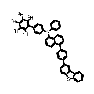 [2H]c1c([2H])c([2H])c(-c2ccc(N(c3ccccc3)c3cccc4c(-c5ccc(-c6ccc7sc8ccccc8c7c6)cc5)cccc34)cc2)c([2H])c1[2H]